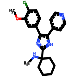 CNC1(c2nc(-c3ccc(Cl)c(OC)c3)c(-c3ccncc3)[nH]2)CCCCC1